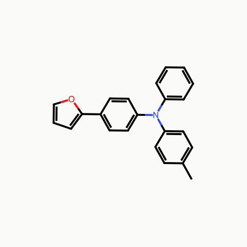 Cc1ccc(N(c2ccccc2)c2ccc(-c3ccco3)cc2)cc1